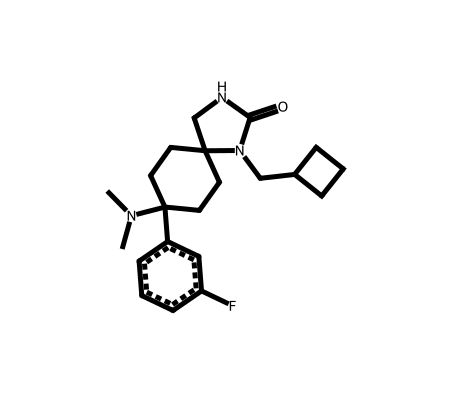 CN(C)C1(c2cccc(F)c2)CCC2(CC1)CNC(=O)N2CC1CCC1